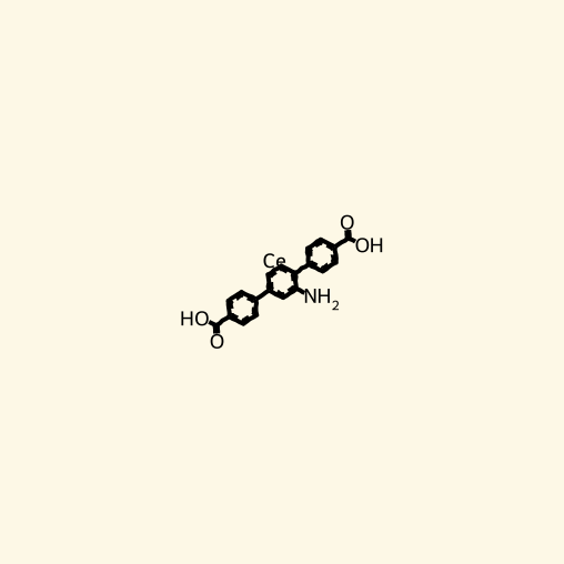 Nc1cc(-c2ccc(C(=O)O)cc2)ccc1-c1ccc(C(=O)O)cc1.[Ce]